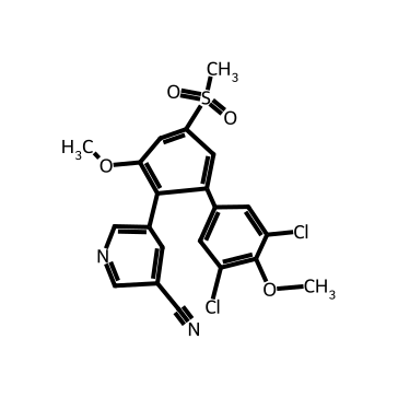 COc1cc(S(C)(=O)=O)cc(-c2cc(Cl)c(OC)c(Cl)c2)c1-c1cncc(C#N)c1